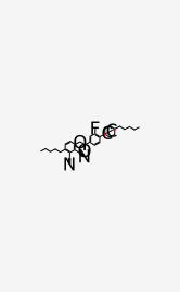 CCCCCc1ccc(OC(=O)c2ccc(C34CCC(CCCCC)(CC3)CC4)c(F)c2)c(C#N)c1C#N